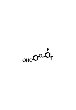 O=Cc1ccc(OCc2cc(F)cc(F)c2)cc1